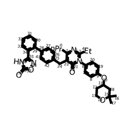 CCCc1nc(CC)n(-c2ccc(OC3CCOC(C)(C)C3)cc2)c(=O)c1Cc1ccc(-c2ccccc2-c2noc(=O)[nH]2)cc1